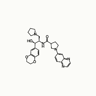 O=C(N[C@H](CN1CCCC1)[C@H](O)c1ccc2c(c1)OCCO2)C1CCN(c2ccc3nccnc3c2)C1